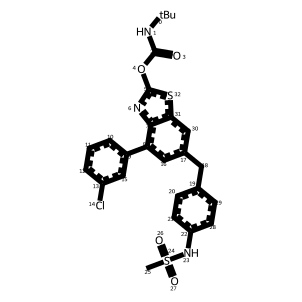 CC(C)(C)NC(=O)Oc1nc2c(-c3cccc(Cl)c3)cc(Cc3ccc(NS(C)(=O)=O)cc3)cc2s1